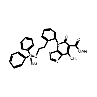 COC(=O)c1c(C)c2ncsc2n(-c2ccccc2CCO[Si](c2ccccc2)(c2ccccc2)C(C)(C)C)c1=O